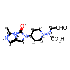 Cc1ncc2n1C(=O)N(C1CCN(N(CC=O)C(=O)O)CC1)C2